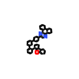 c1cc(-c2ccc(-c3cnc4c5ccccc5c5ccccc5c4n3)cc2)cc(-c2ccccc2-c2cccc3c2oc2ccccc23)c1